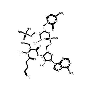 C=CCCC(=O)N(C)[C@@H](CO)C(=O)O[C@H]1[C@@H](O)[C@H](n2cnc3c(N)ncnc32)O[C@@H]1COP(=O)(O)O[C@@H](Cn1ccc(N)nc1=O)[C@@H](COP(=O)(O)O)OC